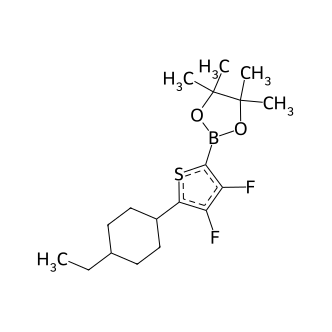 CCC1CCC(c2sc(B3OC(C)(C)C(C)(C)O3)c(F)c2F)CC1